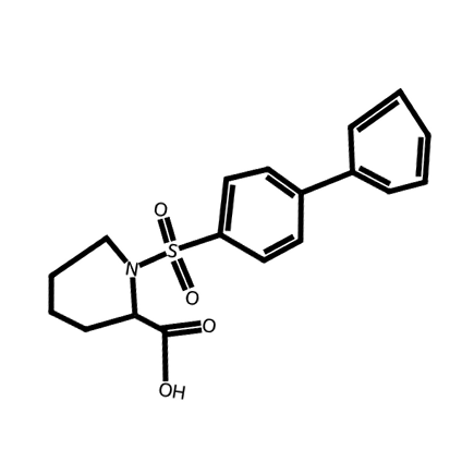 O=C(O)C1CCCCN1S(=O)(=O)c1ccc(-c2ccccc2)cc1